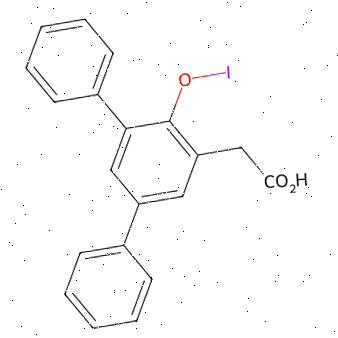 O=C(O)Cc1cc(-c2ccccc2)cc(-c2ccccc2)c1OI